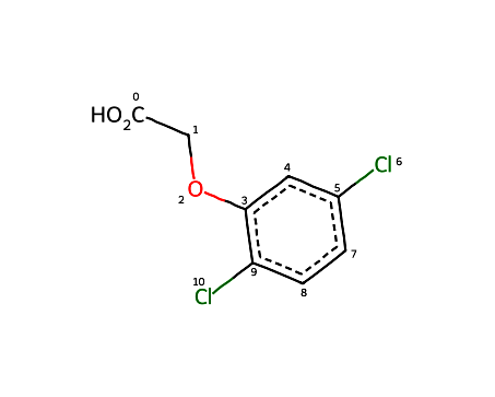 O=C(O)COc1cc(Cl)ccc1Cl